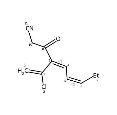 C=C(Cl)/C(=C\C=C/CC)C(=O)CC#N